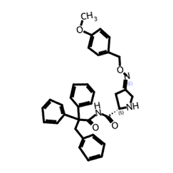 COc1ccc(CO/N=C2/CN[C@H](C(=O)NC(=O)C(Cc3ccccc3)(c3ccccc3)c3ccccc3)C2)cc1